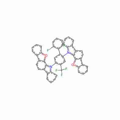 Fc1cccc(F)c1-c1cc(-n2c3ccccc3c3ccc4c5ccccc5oc4c32)c(C(F)(F)F)cc1-n1c2ccccc2c2ccc3c4ccccc4oc3c21